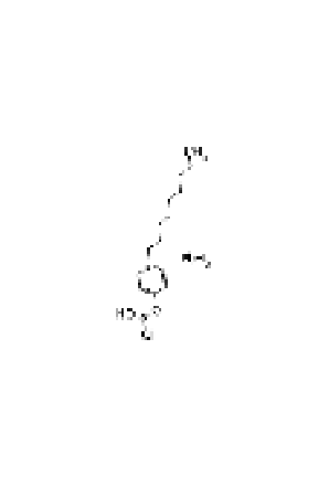 CCCCCCCCCc1ccc(OP(O)O)cc1.[PbH2]